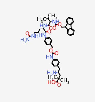 CC(C)[C@H](NC(=O)OCC1c2ccccc2-c2ccccc21)C(=O)N[C@@H](CCCNC(N)=O)C(=O)Nc1ccc(COC(=O)Nc2ccc(C[C@H](N)CC(C)(C)C(=O)O)cc2)cc1